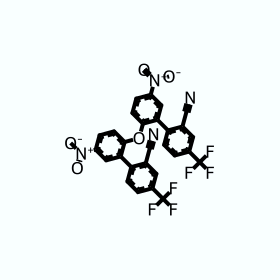 N#Cc1cc(C(F)(F)F)ccc1-c1cc([N+](=O)[O-])ccc1Oc1ccc([N+](=O)[O-])cc1-c1ccc(C(F)(F)F)cc1C#N